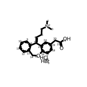 Br.CN(C)CCC=C1c2ccccc2COc2ccc(CC(=O)O)cc21.Cl